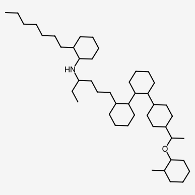 CCCCCCCC1CCCCC1NC(CC)CCCC1CCCCC1C1CCCCC1C1CCC(C(C)OC2CCCCC2C)CC1